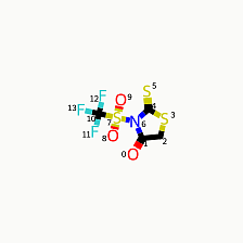 O=C1CSC(=S)N1S(=O)(=O)C(F)(F)F